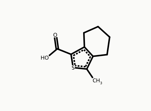 Cc1sc(C(=O)O)c2c1CCCC2